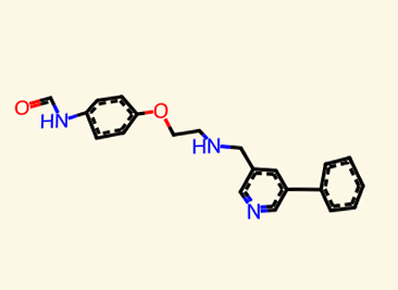 O=CNc1ccc(OCCNCc2cncc(-c3ccccc3)c2)cc1